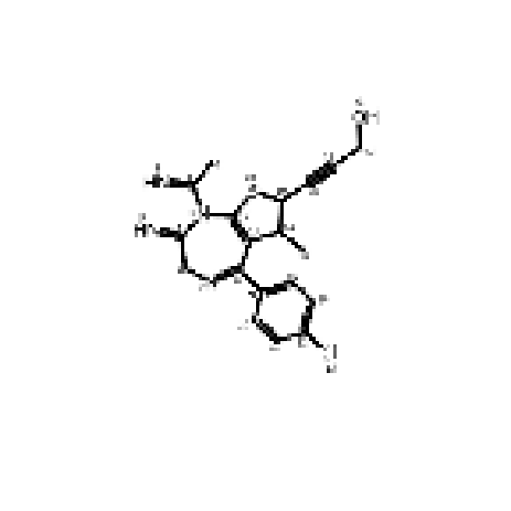 CC(=N)N1C(=N)CN=C(c2ccc(Cl)cc2)C2=C1SC(C#CCO)C2C